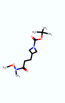 CON(C)C(=O)CCC1CN(C(=O)OC(C)(C)C)C1